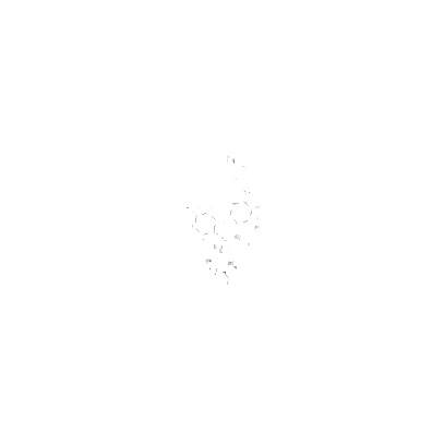 C[C@H]1NC(=O)[C@]2(C)CC[C@@H](c3ccc(OCCN)cc3Cl)[C@H](c3ccc(Cl)cc3)[C@H]12